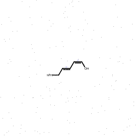 CCCC/C=C/C=C\O